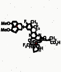 COc1ccc(CN(Cc2ccc(OC)cc2)c2cc(-c3nc4c5c(nc(OC[C@@H](C)C(=O)O)nc5c3F)N3C[C@H]5CC[C@@H]([C@H]3[C@H](C(F)(F)F)O4)N5C(=O)OC(C)(C)C)c(C(F)(F)F)c(C)c2F)cc1